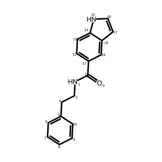 O=C(NCCc1ccccc1)c1ccc2[nH]ccc2c1